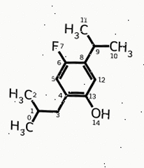 CC(C)Cc1cc(F)c(C(C)C)cc1O